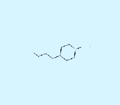 O=C(O)N1CCC(CCCO)CC1